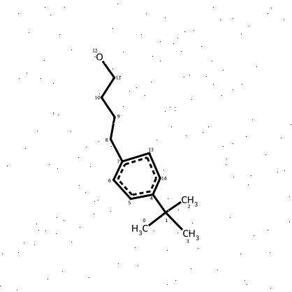 CC(C)(C)c1ccc(CCCC[O])cc1